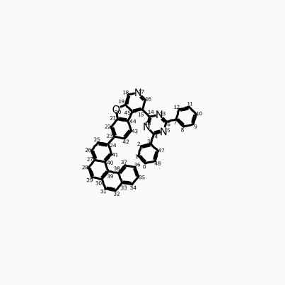 c1ccc(-c2nc(-c3ccccc3)nc(-c3cncc4oc5cc(-c6ccc7ccc8ccc9ccccc9c8c7c6)ccc5c34)n2)cc1